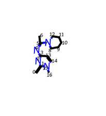 C=C1N=C(/N=C(/C)N2CCCCC2)C=CN1C